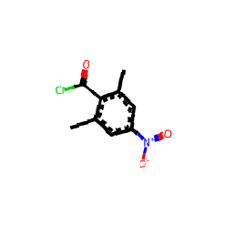 Cc1cc([N+](=O)[O-])cc(C)c1C(=O)Cl